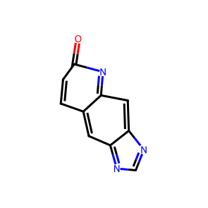 O=C1C=Cc2cc3c(cc2=N1)N=CN=3